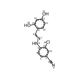 N#Cc1ccc(NN=Cc2ccc(O)cc2O)c(Cl)c1